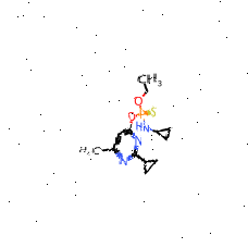 CCOP(=S)(NC1CC1)Oc1cc(C)nc(C2CC2)n1